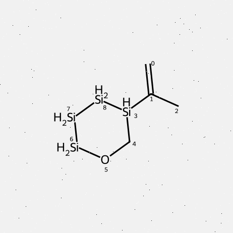 C=C(C)[SiH]1CO[SiH2][SiH2][SiH2]1